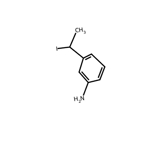 CC(I)c1cccc(N)c1